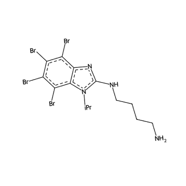 CC(C)n1c(NCCCCN)nc2c(Br)c(Br)c(Br)c(Br)c21